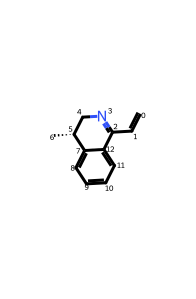 C=CC1=NC[C@@H](C)c2ccccc21